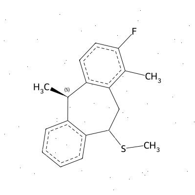 CSC1Cc2c(ccc(F)c2C)[C@H](C)c2ccccc21